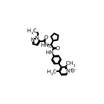 CCn1nccc1C(=O)N[C@H](C(=O)Nc1ccc(-c2c(C)cc[n+]([O-])c2C)cc1)C1CCCC1